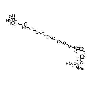 CC(C)(C)OC[C@H](NC(=O)c1ccc(Oc2cccc(C(=O)NCCOCCOCCOCCOCCOCCOCCOCCOCCNC(=O)CCCC[C@@H]3SC[C@@H]4NC(=O)N[C@@H]43)c2)nc1)C(=O)O